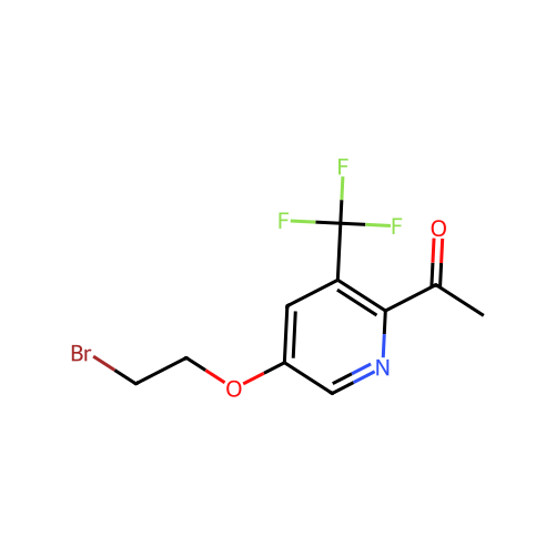 CC(=O)c1ncc(OCCBr)cc1C(F)(F)F